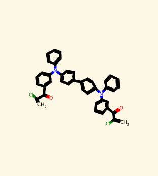 C=C(Cl)C(=O)c1cccc(N(c2ccccc2)c2ccc(-c3ccc(N(c4ccccc4)c4cccc(C(=O)C(=C)Cl)c4)cc3)cc2)c1